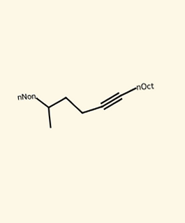 [CH2]CCCCCCCC#CCCC(C)CCCCCCCC[CH2]